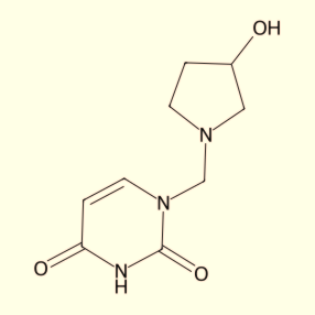 O=c1ccn(CN2CCC(O)C2)c(=O)[nH]1